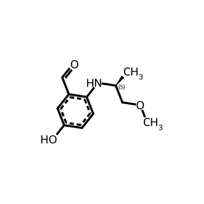 COC[C@H](C)Nc1ccc(O)cc1C=O